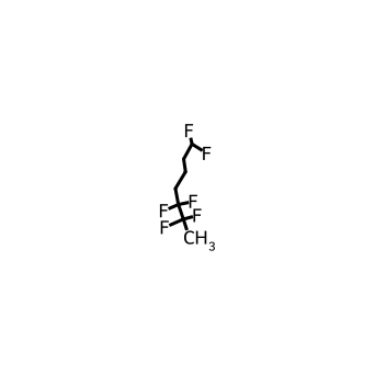 CC(F)(F)C(F)(F)CCCC(F)F